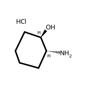 Cl.N[C@@H]1CCCC[C@H]1O